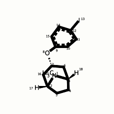 CN1[C@@H]2CC[C@H]1C[C@@H](Oc1ccc(I)cc1)C2